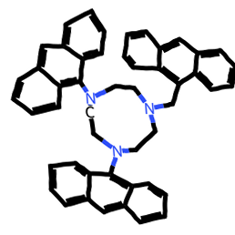 c1ccc2c(CN3CCN(c4c5ccccc5cc5ccccc45)CCN(c4c5ccccc5cc5ccccc45)CC3)c3ccccc3cc2c1